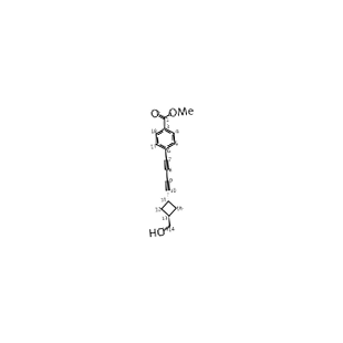 COC(=O)c1ccc(C#CC#C[C@H]2C[C@H](CO)C2)cc1